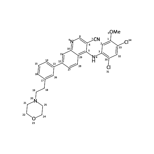 COc1cc(Nc2c(C#N)cnc3cc(-c4cccc(CCN5CCOCC5)c4)ccc23)c(Cl)cc1Cl